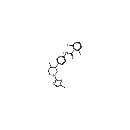 CC1=C(c2ccc(NC(=O)c3c(C)cccc3F)cc2)CN(c2nc(C)co2)CC1